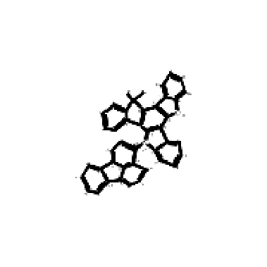 CC1(C)c2ccccc2-c2c1c1c3ccccc3oc1c1c3ccccc3n(-c3ccc4c5c(cccc35)-c3ccccc3-4)c21